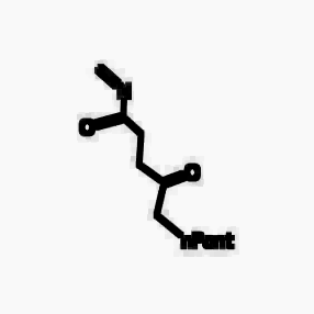 C=NC(=O)CCC(=O)CCCCCC